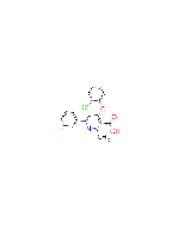 Cc1nc(-c2cccc(F)c2)cc(Oc2ccccc2Cl)c1C(=O)O